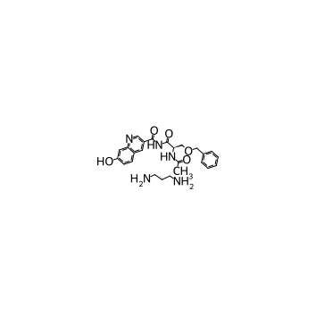 CC(=O)N[C@H](COCc1ccccc1)C(=O)NC(=O)c1cnc2cc(O)ccc2c1.NCCCN